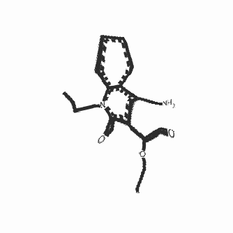 CCOC(=O)c1c(N)c2ccccc2n(CC)c1=O